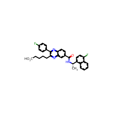 C[C@H](NC(=O)c1ccc2nc(-c3ccc(F)cc3)c(CCCCC(=O)O)nc2c1)c1ccc(F)c2ccccc12